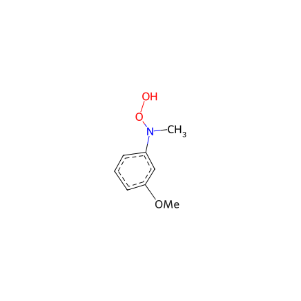 COc1cccc(N(C)OO)c1